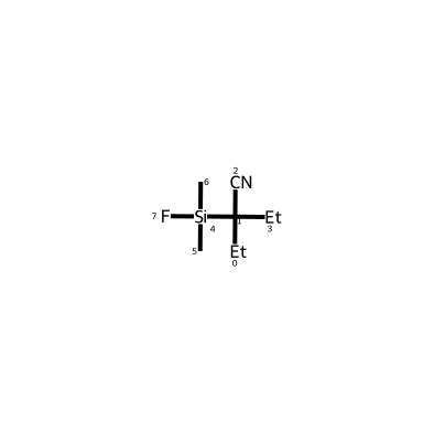 CCC(C#N)(CC)[Si](C)(C)F